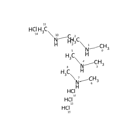 CNC.CNC.CNC.CNC.Cl.Cl.Cl.Cl